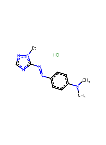 CCn1ncnc1N=Nc1ccc(N(C)C)cc1.Cl